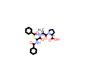 C[C@H](NC(=O)C(NC(=O)c1ccccc1)SC(=O)c1ccccc1)C(=O)N1CCC[C@H]1C(=O)O